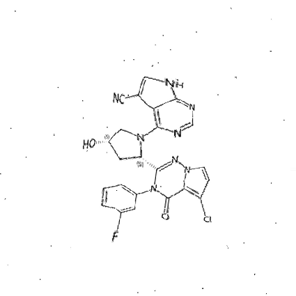 N#Cc1c[nH]c2ncnc(N3C[C@@H](O)C[C@H]3c3nn4ccc(Cl)c4c(=O)n3-c3cccc(F)c3)c12